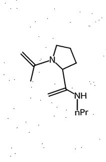 C=C(NCCC)C1CCCN1C(=C)C